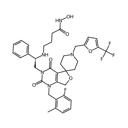 Cc1cccc(F)c1Cn1c2c(c(=O)n(C[C@H](NCCCC(=O)NO)c3ccccc3)c1=O)C1(CCN(Cc3ccc(C(F)(F)F)o3)CC1)OC2